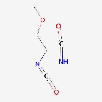 COCCN=C=O.N=C=O